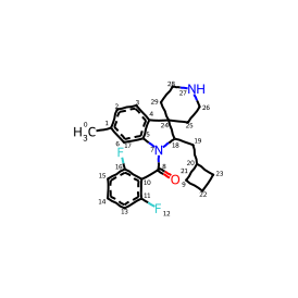 Cc1ccc2c(c1)N(C(=O)c1c(F)cccc1F)C(CC1CCC1)C21CCNCC1